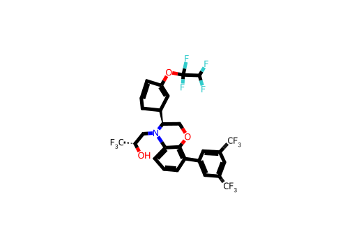 O[C@@H](CN1c2cccc(-c3cc(C(F)(F)F)cc(C(F)(F)F)c3)c2OC[C@@H]1C1C=C(OC(F)(F)C(F)F)C=CC1)C(F)(F)F